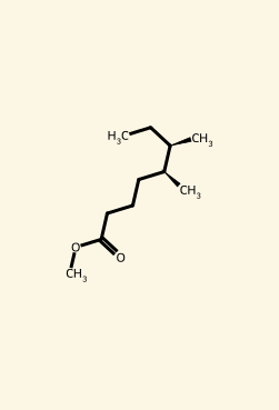 CC[C@@H](C)[C@@H](C)CCCC(=O)OC